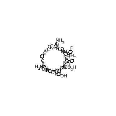 CC1(C)NC(=O)[C@H](CC(=O)O)NC(=O)[C@H](Cc2c[nH]c3ccc(F)cc23)NC(=O)[C@H](Cc2c[nH]c3ccc(F)cc23)NC(=O)CNC(=O)[C@H](CCCCN)NC(=O)CCSCc2cccc(c2)CSC[C@@H](C(N)=O)NC(=O)[C@@H]2CCCN2C(=O)[C@H](Cc2ccc(O)cc2)NC1=O